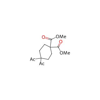 COC(=O)C1(C(=O)OC)CCC(C(C)=O)(C(C)=O)CC1